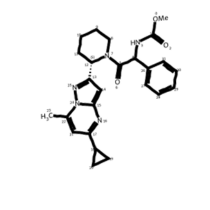 COC(=O)NC(C(=O)N1CCCC[C@H]1c1cc2nc(C3CC3)cc(C)n2n1)c1ccccc1